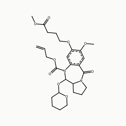 C=CCOC(=O)N1c2cc(OCCCC(=O)OC)c(OC)cc2C(=O)N2CCCC2C1OC1CCCCO1